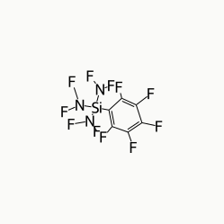 Fc1c(F)c(F)c([Si](N(F)F)(N(F)F)N(F)F)c(F)c1F